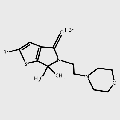 Br.CC1(C)c2sc(Br)cc2C(=O)N1CCN1CCOCC1